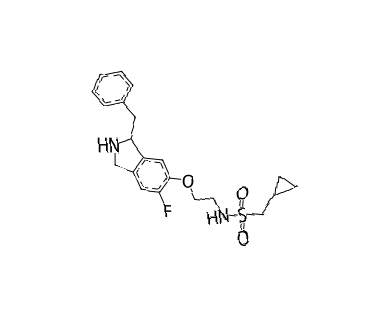 O=S(=O)(CC1CC1)NCCOc1cc2c(cc1F)CNC2Cc1ccccc1